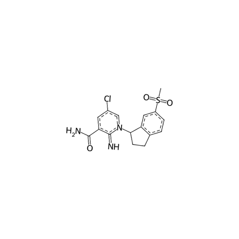 CS(=O)(=O)c1ccc2c(c1)C(n1cc(Cl)cc(C(N)=O)c1=N)CC2